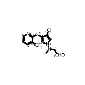 CN(CC=O)n1cc(Cl)c(Sc2ncccc2C(F)(F)F)n1